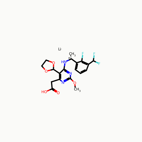 COc1nc(CC(=O)O)c(C2OCCO2)c(N[C@H](C)c2cccc(C(F)F)c2F)n1.[Li]